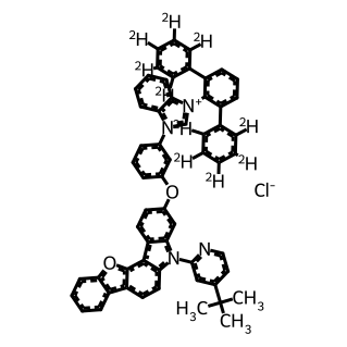 [2H]c1c([2H])c([2H])c(-c2cccc(-c3c([2H])c([2H])c([2H])c([2H])c3[2H])c2-[n+]2cn(-c3cccc(Oc4ccc5c6c7oc8ccccc8c7ccc6n(-c6cc(C(C)(C)C)ccn6)c5c4)c3)c3ccccc32)c([2H])c1[2H].[Cl-]